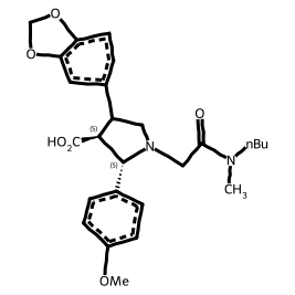 CCCCN(C)C(=O)CN1CC(c2ccc3c(c2)OCO3)[C@H](C(=O)O)[C@H]1c1ccc(OC)cc1